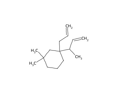 C=CCC1(C(C)C=C)CCCC(C)(C)C1